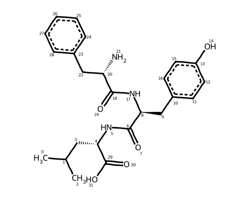 CC(C)C[C@H](NC(=O)[C@H](Cc1ccc(O)cc1)NC(=O)[C@@H](N)Cc1ccccc1)C(=O)O